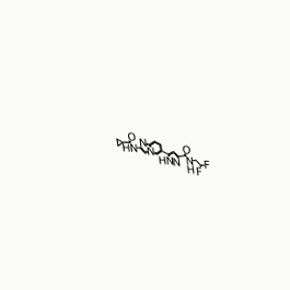 O=C(NCC(F)F)c1cc(-c2ccc3nc(NC(=O)C4CC4)cn3c2)[nH]n1